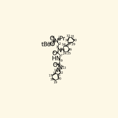 CC(C)N(CCN(C(=O)CNCC(=O)N(C)N1Cc2ccccc2C1)c1cccc(-c2ccccc2)c1)C(=O)OC(C)(C)C